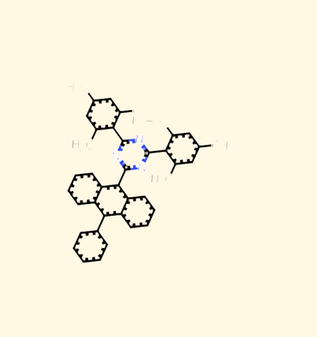 Cc1cc(C)c(-c2nc(-c3c(C)cc(C)cc3C)nc(-c3c4ccccc4c(-c4ccccc4)c4ccccc34)n2)c(C)c1